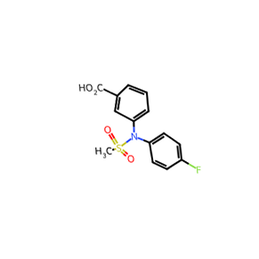 CS(=O)(=O)N(c1ccc(F)cc1)c1cccc(C(=O)O)c1